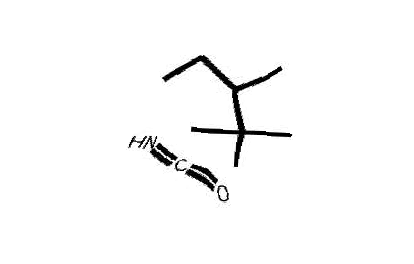 CCC(C)C(C)(C)C.N=C=O